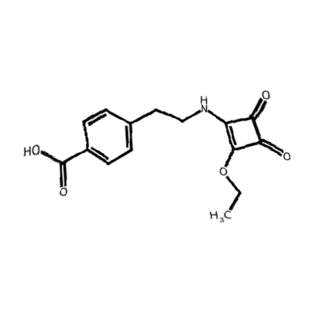 CCOc1c(NCCc2ccc(C(=O)O)cc2)c(=O)c1=O